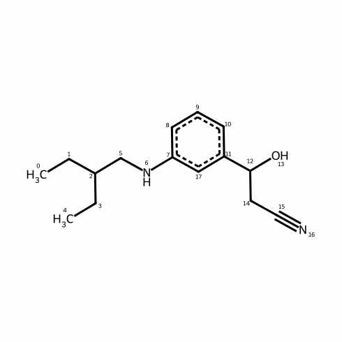 CCC(CC)CNc1cccc(C(O)CC#N)c1